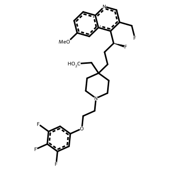 COc1ccc2ncc(CF)c([C@@H](F)CCC3(CC(=O)O)CCN(CCOc4cc(F)c(F)c(F)c4)CC3)c2c1